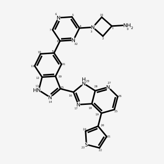 NC1CN(c2cncc(-c3ccc4[nH]nc(-c5nc6c(-c7ccsc7)ccnc6[nH]5)c4c3)n2)C1